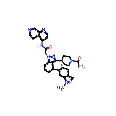 CC(=O)N1CCC(c2nn(CC(=O)Nc3ccnc4cnccc34)c3cccc(-c4cc5c(cnn5C)cc4F)c23)CC1